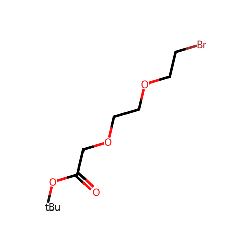 CC(C)(C)OC(=O)COCCOCCBr